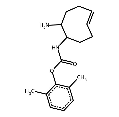 Cc1cccc(C)c1OC(=O)NC1CC/C=C/CCC1N